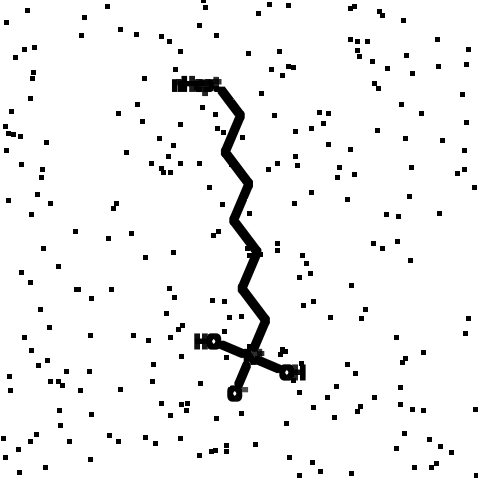 CCCCCCCCCCCCCC[N+]([O-])(O)O